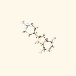 Cc1ccc(C)c2oc(C3=CCN(C)CC3)cc12